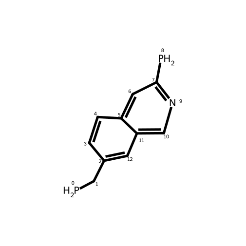 PCc1ccc2cc(P)ncc2c1